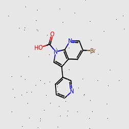 O=C(O)n1cc(-c2cccnc2)c2cc(Br)cnc21